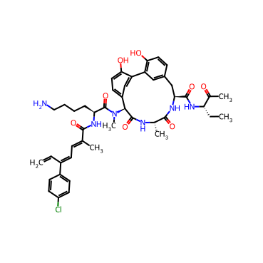 C=C/C(=C\C=C(/C)C(=O)N[C@@H](CCCCN)C(=O)N(C)[C@@H]1C(=O)N[C@@H](C)C(=O)N[C@H](C(=O)N[C@@H](CC)C(C)=O)Cc2ccc(O)c(c2)-c2cc1ccc2O)c1ccc(Cl)cc1